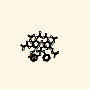 CNC(=O)O[C@H]1[C@H](OC(C)=O)[C@H](OC(C)=O)[C@H](O[C@H]2[C@H](OP(=O)(Oc3ccccc3)Oc3ccccc3)O[C@H](COC(C)=O)[C@H](OC(C)=O)[C@H]2OC(C)=O)O[C@@H]1COC(C)=O